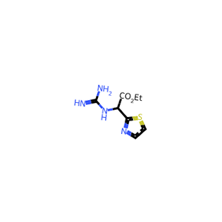 CCOC(=O)C(NC(=N)N)c1nccs1